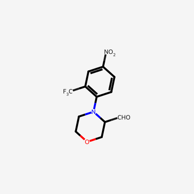 O=CC1COCCN1c1ccc([N+](=O)[O-])cc1C(F)(F)F